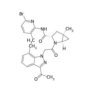 CC(=O)c1nn(CC(=O)N2[C@H](C(=O)Nc3nc(Br)ccc3C)C[C@@]3(C)C[C@@H]23)c2c(C)cccc12